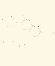 CCn1cc(C(=O)O)c(=O)c2cc(F)c(N3CCNCC3)nc21.N[C@@H](CC(=O)O)C(=O)O